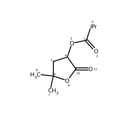 CC(C)C(=O)OC1CC(C)(C)OC1=O